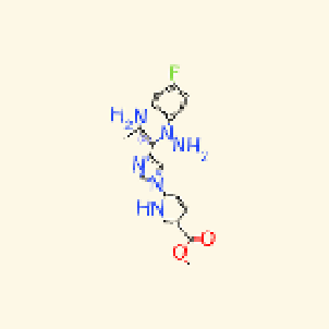 COC(=O)C1=CNC(n2cnc(/C(=C(\C)N)N(N)c3ccc(F)cc3)c2)C=C1